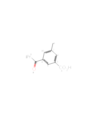 Cc1cc(C(=O)O)cc(C(=O)C(C)C)c1